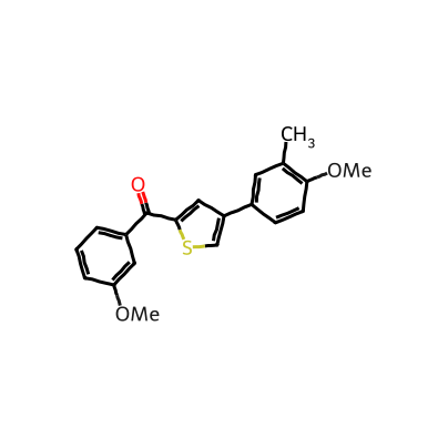 COc1cccc(C(=O)c2cc(-c3ccc(OC)c(C)c3)cs2)c1